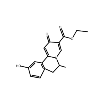 CCOC(=O)c1cn2c(cc1=O)-c1cc(O)ccc1CC2C